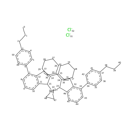 CCCc1ccc(-c2cccc3c2C=C(C2CCCCC2)[CH]3[Hf+2]2([CH]3C(C4CCCCC4)=Cc4c(-c5ccc(CCC)cc5)cccc43)[CH2][CH2]2)cc1.[Cl-].[Cl-]